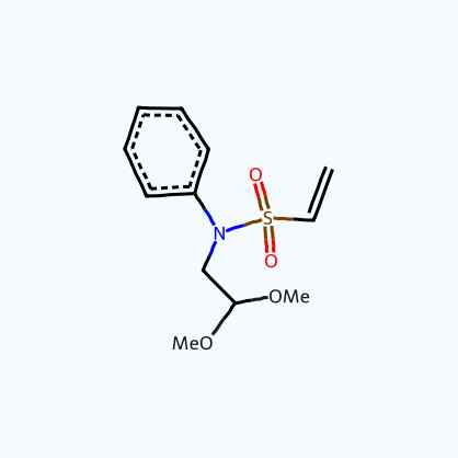 C=CS(=O)(=O)N(CC(OC)OC)c1ccccc1